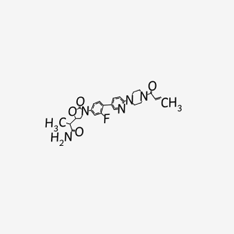 C/C=C/C(=O)N1CCN(c2ccc(-c3ccc(N4CC(C(C)C(N)=O)OC4=O)cc3F)cn2)CC1